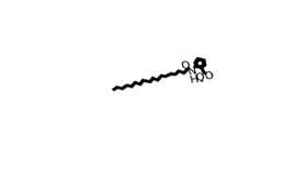 CCCCCCCCCCCCCCCCCC(=O)Nc1ccccc1C(=O)OC